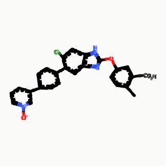 Cc1ccc(Oc2nc3cc(-c4ccc(-c5ccc[n+]([O-])c5)cc4)c(Cl)cc3[nH]2)cc1C(=O)O